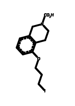 O=C(O)N1CCc2c(cccc2OCCCI)C1